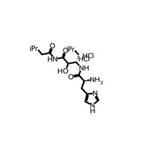 CC(C)CC(=O)NC(=O)C(O)[C@H](CC(C)C)NC(=O)[C@@H](N)Cc1c[nH]cn1.Cl.Cl